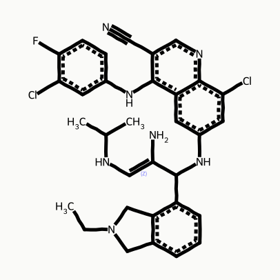 CCN1Cc2cccc(C(Nc3cc(Cl)c4ncc(C#N)c(Nc5ccc(F)c(Cl)c5)c4c3)/C(N)=C/NC(C)C)c2C1